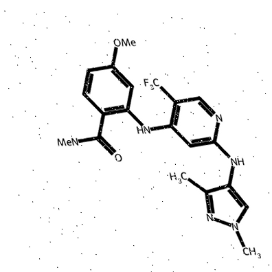 CNC(=O)c1ccc(OC)cc1Nc1cc(Nc2cn(C)nc2C)ncc1C(F)(F)F